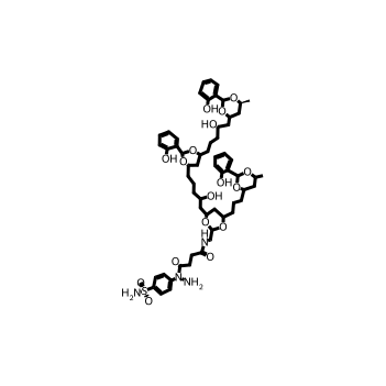 CC1CC(CCCC2CC(CC(O)CCCC3CC(CCCC(O)CC4C[C@H](C)OC(c5ccccc5O)O4)OC(c4ccccc4O)O3)OC(CNC(=O)CCC(=O)N(N)c3ccc(S(N)(=O)=O)cc3)O2)OC(c2ccccc2O)O1